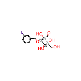 O=C[C@H](O)[C@@H](OCc1cccc(I)c1)[C@H](O)[C@H](O)CO